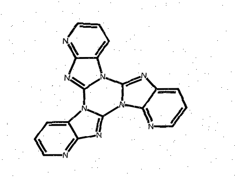 c1cnc2c(c1)nc1n3c4cccnc4nc3n3c4cccnc4nc3n21